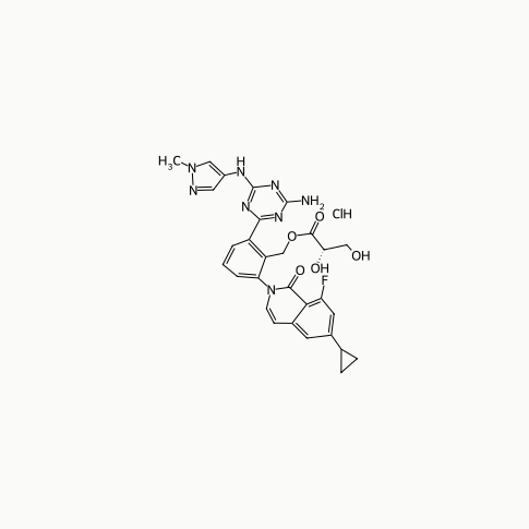 Cl.Cn1cc(Nc2nc(N)nc(-c3cccc(-n4ccc5cc(C6CC6)cc(F)c5c4=O)c3COC(=O)[C@@H](O)CO)n2)cn1